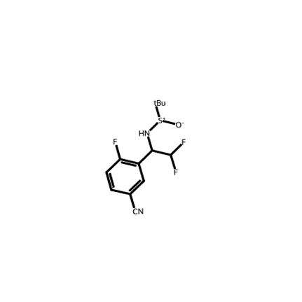 CC(C)(C)[S+]([O-])NC(c1cc(C#N)ccc1F)C(F)F